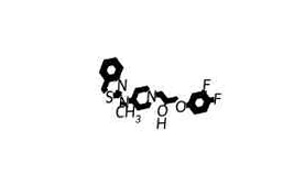 CN(C1=Nc2ccccc2CS1)C1CCN(C[C@@H](O)COc2ccc(F)c(F)c2)CC1